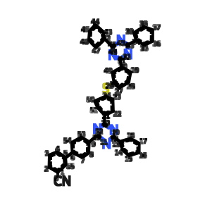 N#Cc1cccc(-c2ccc(-c3nc(-c4ccccc4)nc(-c4ccc(Sc5cccc(-c6nc(-c7ccccc7)nc(-c7ccccc7)n6)c5)cc4)n3)cc2)c1